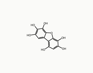 Oc1cc2c(oc3c(O)c(O)cc(O)c32)c(O)c1O